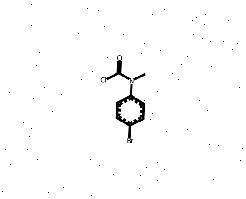 CN(C(=O)Cl)c1ccc(Br)cc1